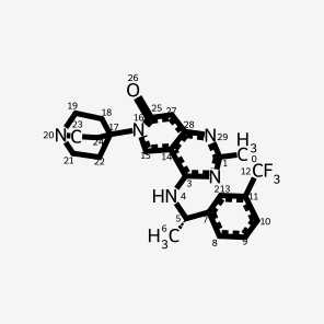 Cc1nc(N[C@@H](C)c2cccc(C(F)(F)F)c2)c2cn(C34CCN(CC3)CC4)c(=O)cc2n1